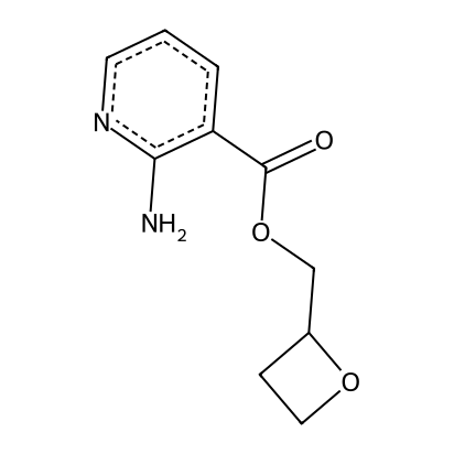 Nc1ncccc1C(=O)OCC1CCO1